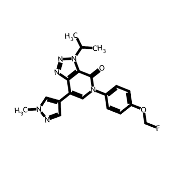 CC(C)n1nnc2c(-c3cnn(C)c3)cn(-c3ccc(OCF)cc3)c(=O)c21